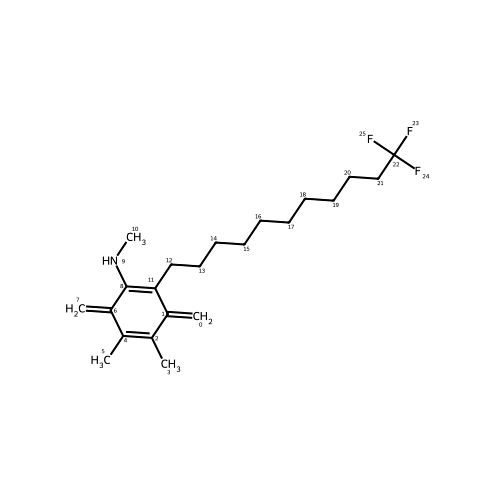 C=c1c(C)c(C)c(=C)c(NC)c1CCCCCCCCCCC(F)(F)F